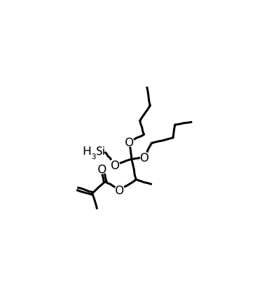 C=C(C)C(=O)OC(C)C(O[SiH3])(OCCCC)OCCCC